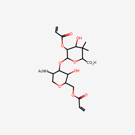 C=CC(=O)OCC1OCC(NC(C)=O)C(OC2OC(C(=O)O)C(C)(C)C(O)C2OC(=O)C=C)C1O